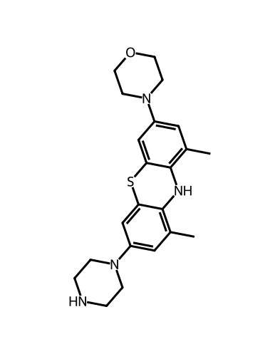 Cc1cc(N2CCNCC2)cc2c1Nc1c(C)cc(N3CCOCC3)cc1S2